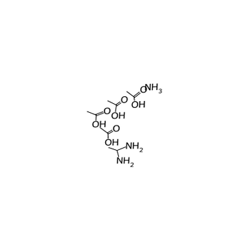 CC(=O)O.CC(=O)O.CC(=O)O.CC(=O)O.CC(N)N.N